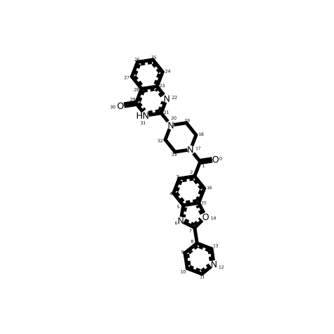 O=C(c1ccc2nc(-c3cccnc3)oc2c1)N1CCN(c2nc3ccccc3c(=O)[nH]2)CC1